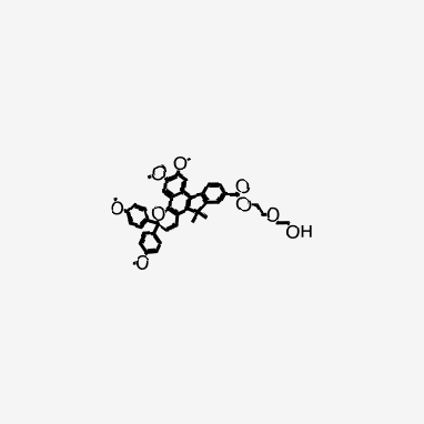 COc1ccc(C2(c3ccc(OC)cc3)C=Cc3c4c(c5cc(OC)c(OC)cc5c3O2)-c2ccc(C(=O)OCCOCCO)cc2C4(C)C)cc1